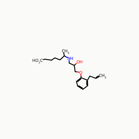 C=CCc1ccccc1OCC(O)CNC(C)CCCCC(=O)O